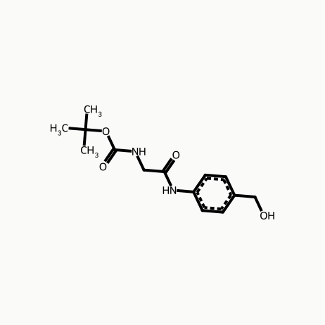 CC(C)(C)OC(=O)NCC(=O)Nc1ccc(CO)cc1